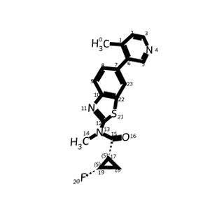 Cc1ccncc1-c1ccc2nc(N(C)C(=O)[C@@H]3C[C@@H]3F)sc2c1